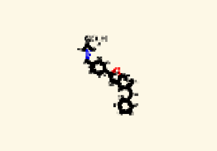 O=C(O)C1CN(Cc2ccc(-c3cc4cc(Cc5ccccc5)ccc4o3)cc2)C1